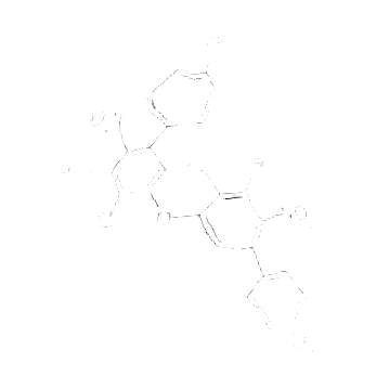 O=[N+]([O-])c1c(-c2ccc(C(F)(F)F)cc2)cc(Oc2cc(-c3ccc(C(F)(F)F)cc3)c([N+](=O)[O-])c(Br)c2Cl)c(Cl)c1Br